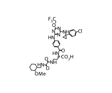 COC1CCCCC1CNC(=O)C(=O)NCC[C@H](NC(=O)c1ccc(Nc2nc(NC3(c4ccc(Cl)cc4)CC3)nc(OCC(F)(F)F)n2)cc1)C(=O)O